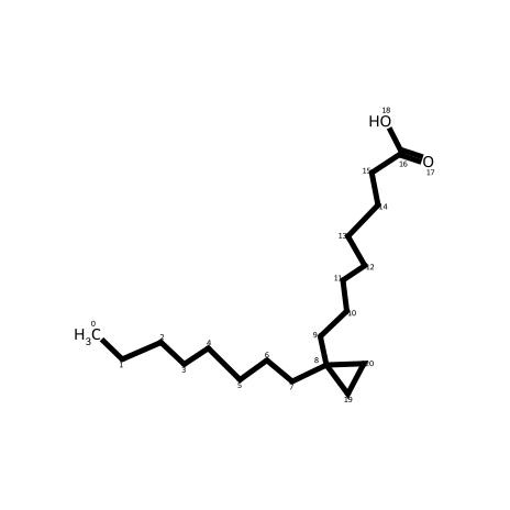 CCCCCCCCC1(CCCCCCCC(=O)O)CC1